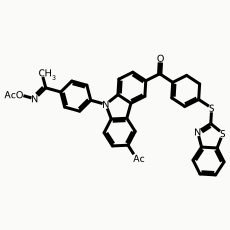 CC(=O)ON=C(C)c1ccc(-n2c3ccc(C(C)=O)cc3c3cc(C(=O)C4=CC=C(Sc5nc6ccccc6s5)CC4)ccc32)cc1